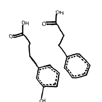 O=C(O)CCc1cccc(O)c1.O=C(O)CCc1ccccc1